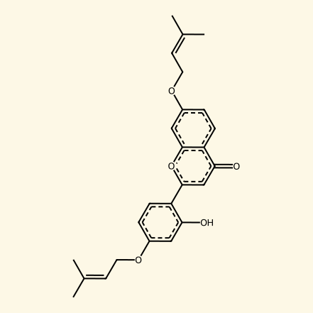 CC(C)=CCOc1ccc(-c2cc(=O)c3ccc(OCC=C(C)C)cc3o2)c(O)c1